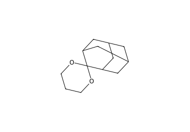 C1COC2(OC1)C1CC3CC(C1)CC2C3